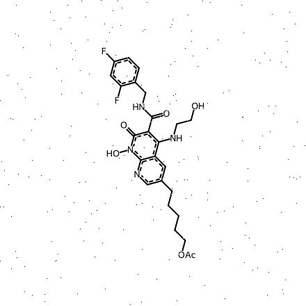 CC(=O)OCCCCCc1cnc2c(c1)c(NCCO)c(C(=O)NCc1ccc(F)cc1F)c(=O)n2O